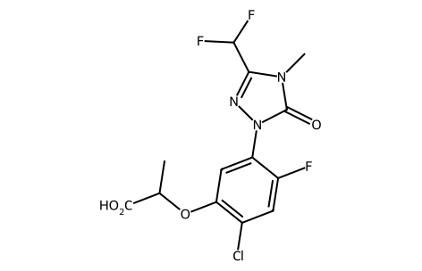 CC(Oc1cc(-n2nc(C(F)F)n(C)c2=O)c(F)cc1Cl)C(=O)O